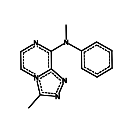 Cc1nnc2c(N(C)c3ccccc3)nccn12